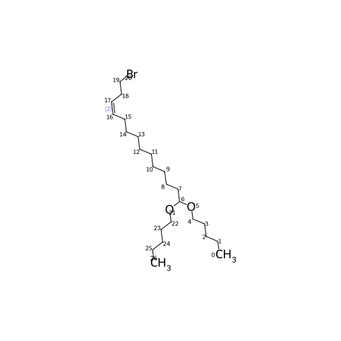 CCCCCOC(CCCCCCCCC/C=C\CCBr)OCCCCC